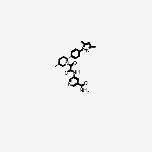 Cc1cc(C)n(-c2ccc([C@H]3CC[C@H](C)CN3C(=O)C(=O)Nc3cncc(C(N)=O)c3)cc2)n1